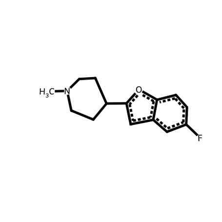 CN1CCC(c2cc3cc(F)ccc3o2)CC1